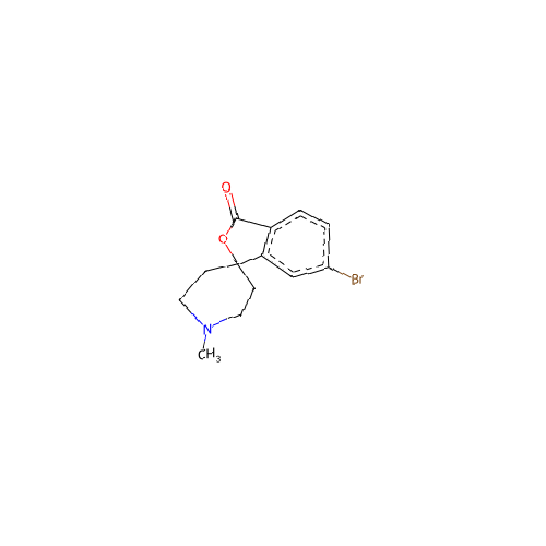 CN1CCC2(CC1)OC(=O)c1ccc(Br)cc12